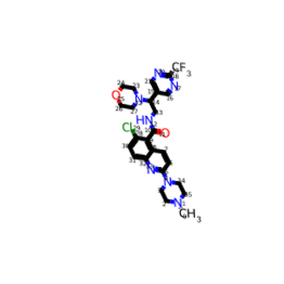 CN1CCN(c2ccc3c(C(=O)NCC(c4cnc(C(F)(F)F)nc4)N4CCOCC4)c(Cl)ccc3n2)CC1